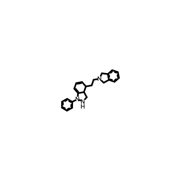 C1=CC(CCN2Cc3ccccc3C2)C2CNN(c3ccccc3)C2=C1